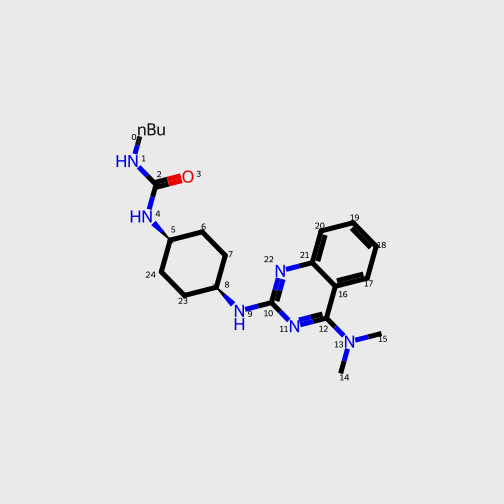 CCCCNC(=O)N[C@H]1CC[C@@H](Nc2nc(N(C)C)c3ccccc3n2)CC1